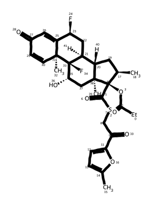 CCC(=O)O[C@]1(C(=O)SCC(=O)c2ccc(C)o2)[C@H](C)C[C@H]2[C@@H]3C[C@H](F)C4=CC(=O)C=C[C@]4(C)[C@@]3(F)[C@@H](O)C[C@@]21C